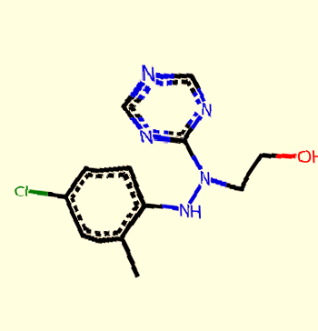 Cc1cc(Cl)ccc1NN(CCO)c1ncncn1